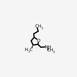 CCCC1C[C@H](C)C(CNC)O1